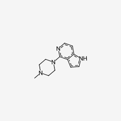 CN1CCN(c2nccc3[nH]ccc23)CC1